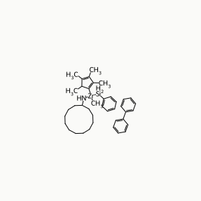 CC1=C(C)C(C)[C]([Zr]([CH3])([NH]C2CCCCCCCCCCC2)[SiH2]c2ccccc2)=C1C.c1ccc(-c2ccccc2)cc1